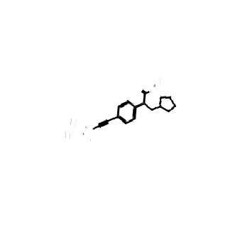 COC(=O)C(CC1CCCC1)c1ccc(C#C[Si](C)(C)C)cc1